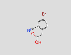 N#Cc1cc(Br)ccc1CC(=O)O